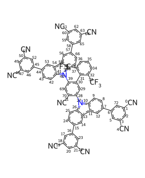 N#Cc1cc(C#N)cc(-c2ccc3c(c2)c2cc(-c4cc(C#N)cc(C#N)c4)ccc2n3-c2cc(-c3c(C(F)(F)F)cccc3C(F)(F)F)c(-n3c4ccc(-c5cc(C#N)cc(C#N)c5)cc4c4cc(-c5cc(C#N)cc(C#N)c5)ccc43)cc2C#N)c1